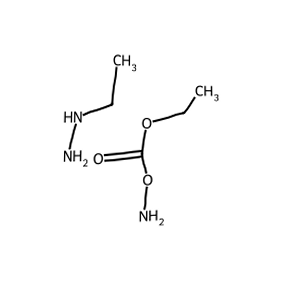 CCNN.CCOC(=O)ON